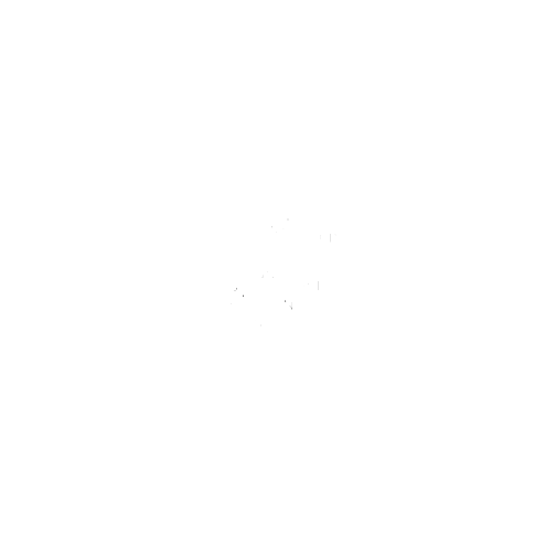 NP(N)(=S)SC(Cl)=C(Cl)Cl